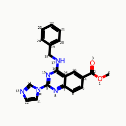 COC(=O)c1ccc2nc(-n3ccnc3)nc(NCc3ccccc3)c2c1